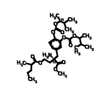 CCCC(C)C(=O)OCC[C@@](N)(Cc1ccc(OC(=O)O[C@@H](C)C(C)C)c(OC(=O)OC(C)C(C)C)c1)C(=O)OC